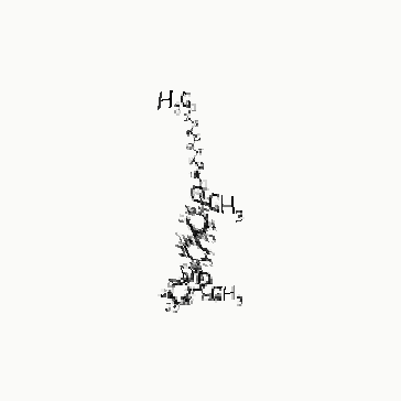 CCCCCCCCCCCCOC(C)c1ccc(-c2ccc(C(=O)Oc3ccccc3CCC)cc2)cc1